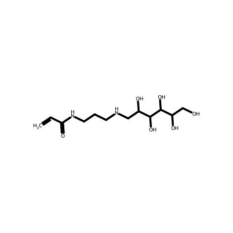 C=CC(=O)NCCCNCC(O)C(O)C(O)C(O)CO